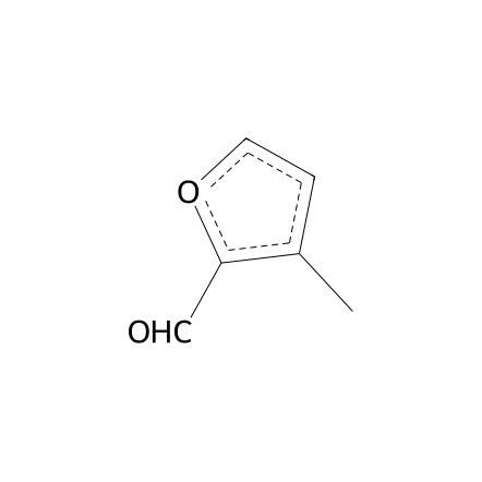 Cc1ccoc1C=O